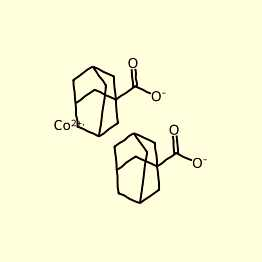 O=C([O-])C12CC3CC(CC(C3)C1)C2.O=C([O-])C12CC3CC(CC(C3)C1)C2.[Co+2]